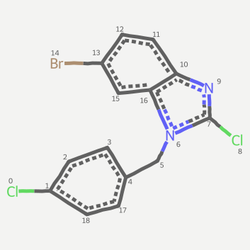 Clc1ccc(Cn2c(Cl)nc3ccc(Br)cc32)cc1